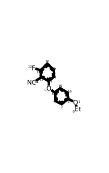 CCOc1ccc(Oc2cccc(F)c2C#N)cc1